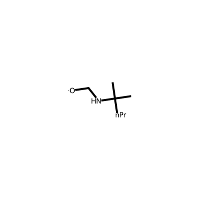 CCCC(C)(C)NC[O]